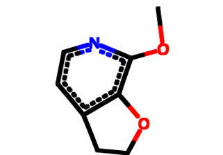 COc1nccc2c1OCC2